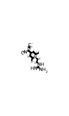 [C-]#[N+]C([N+]#[C-])=C1C=C(C)N(CCNC(=N)N)C(C)=C1